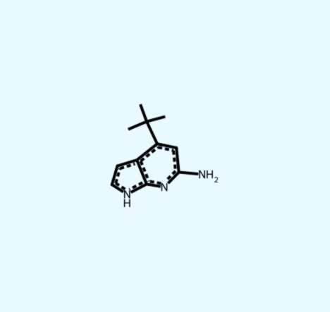 CC(C)(C)c1cc(N)nc2[nH]ccc12